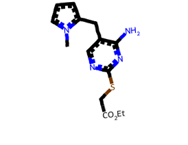 CCOC(=O)CSc1ncc(Cc2cccn2C)c(N)n1